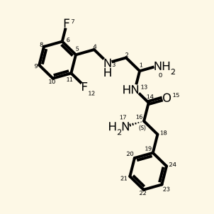 NC(CNCc1c(F)cccc1F)NC(=O)[C@@H](N)Cc1ccccc1